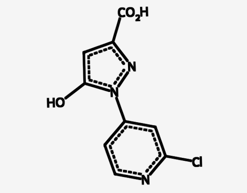 O=C(O)c1cc(O)n(-c2ccnc(Cl)c2)n1